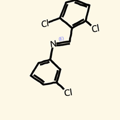 Clc1cccc(/N=C/c2c(Cl)cccc2Cl)c1